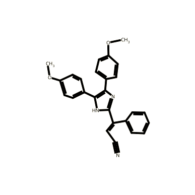 COc1ccc(-c2nc(/C(=C/C#N)c3ccccc3)[nH]c2-c2ccc(OC)cc2)cc1